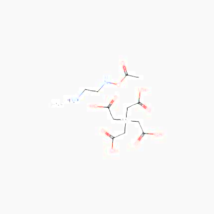 CC(=O)ONCCN.O=C(O)[CH2][Mn]([CH2]C(=O)O)([CH2]C(=O)O)[CH2]C(=O)O.[NaH].[NaH]